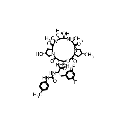 Cc1ccc(NC(=O)N[C@@H](Cc2cc(F)cc(F)c2)C(=O)N[C@@H]2C(=O)N3C[C@H](O)CC3C(=O)N(C)[C@@H](C)C(O)N[C@@H](C)C(=O)N3C[C@@H](C)CC3C(=O)O[C@H]2C)cc1